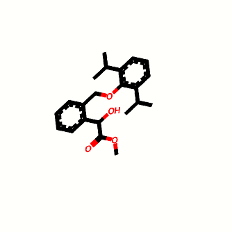 COC(=O)C(O)c1ccccc1COc1c(C(C)C)cccc1C(C)C